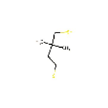 CC(C)(CS)CCS